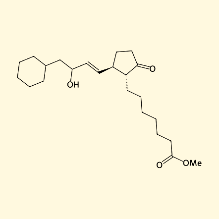 COC(=O)CCCCCC[C@H]1C(=O)CC[C@@H]1/C=C/C(O)CC1CCCCC1